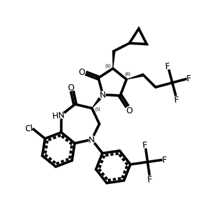 O=C1Nc2c(Cl)cccc2N(c2cccc(C(F)(F)F)c2)C[C@@H]1N1C(=O)[C@@H](CC2CC2)[C@@H](CCC(F)(F)F)C1=O